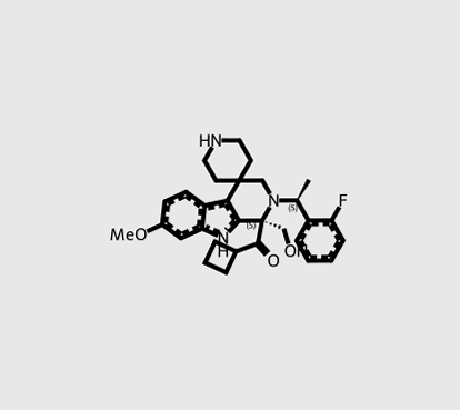 COc1ccc2c3c([nH]c2c1)[C@](CO)(C(=O)C1CCC1)N([C@@H](C)c1ccccc1F)CC31CCNCC1